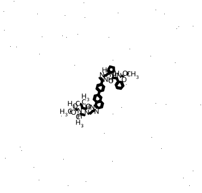 CCCN(Cc1nc2ccc3cc(-c4ccc(-c5cnc(C6[C@H]7CC[C@H](C7)N6C(=O)[C@H](NC(=O)OC)c6ccccc6)[nH]5)cc4)ccc3c2[nH]1)C(=O)[C@@H](NC(=O)OC)C(C)C